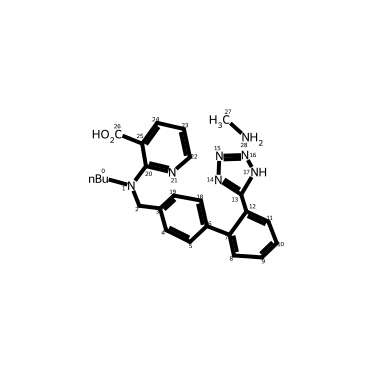 CCCCN(Cc1ccc(-c2ccccc2-c2nnn[nH]2)cc1)c1ncccc1C(=O)O.CN